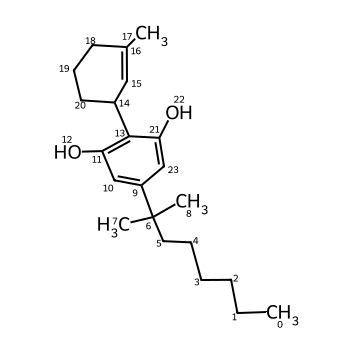 CCCCCCC(C)(C)c1cc(O)c(C2C=C(C)CCC2)c(O)c1